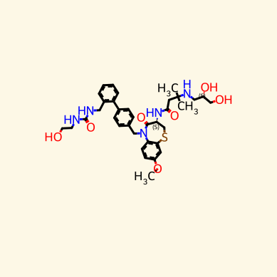 COc1ccc2c(c1)SC[C@@H](NC(=O)CC(C)(C)NC[C@H](O)CO)C(=O)N2Cc1ccc(-c2ccccc2CNC(=O)NCCO)cc1